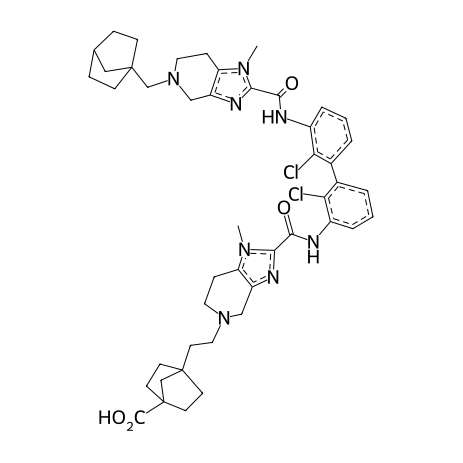 Cn1c(C(=O)Nc2cccc(-c3cccc(NC(=O)c4nc5c(n4C)CCN(CC46CCC(CC4)C6)C5)c3Cl)c2Cl)nc2c1CCN(CCC13CCC(C(=O)O)(CC1)C3)C2